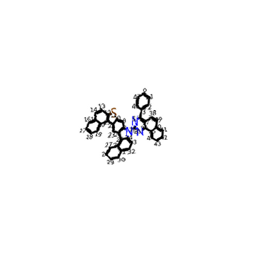 c1ccc(-c2nc(-n3c4cc5sc6ccc7ccccc7c6c5cc4c4c5ccccc5ccc43)nc3c2ccc2ccccc23)cc1